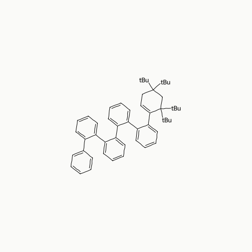 CC(C)(C)C1(C(C)(C)C)CC=C(c2ccccc2-c2ccccc2-c2ccccc2-c2ccccc2-c2ccccc2)C(C(C)(C)C)(C(C)(C)C)C1